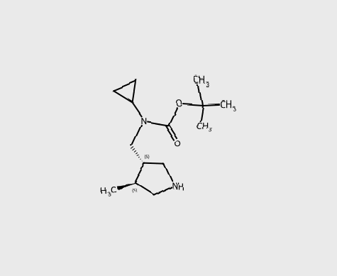 C[C@@H]1CNC[C@H]1CN(C(=O)OC(C)(C)C)C1CC1